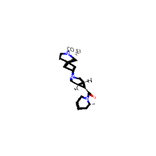 CCOC(=O)N1CCC2(CC(N3C[C@@H]4[C@H](C3)[C@@H]4C(=O)N3CCCC[C@H]3C)C2)C1